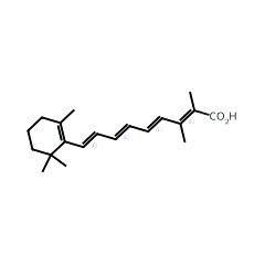 CC1=C(/C=C/C=C/C=C/C(C)=C(\C)C(=O)O)C(C)(C)CCC1